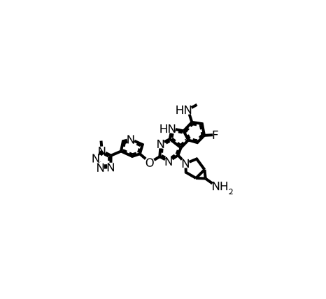 CNc1cc(F)cc2c1[nH]c1nc(Oc3cncc(-c4nnnn4C)c3)nc(N3CC4C(N)C4C3)c12